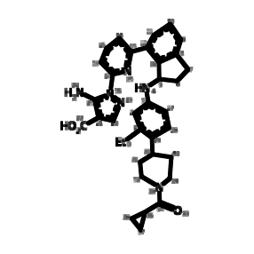 CCc1cc(NC2CCc3cccc(-c4cccc(-n5ncc(C(=O)O)c5N)n4)c32)ccc1C1CCN(C(=O)C2CC2)CC1